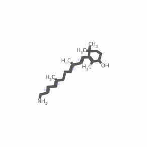 CC1=C(/C=C/C(C)=C/CC/C(C)=C/C=C/CN)C(C)(C)CCC1O